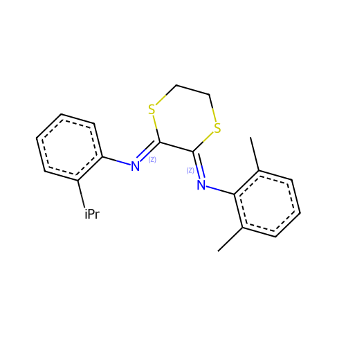 Cc1cccc(C)c1/N=C1\SCCS\C1=N/c1ccccc1C(C)C